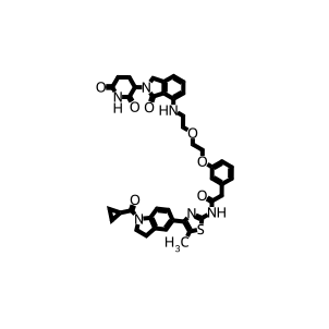 Cc1sc(NC(=O)Cc2cccc(OCCOCCNc3cccc4c3C(=O)N(C3CCC(=O)NC3=O)C4)c2)nc1-c1ccc2c(c1)CCN2C(=O)C1CC1